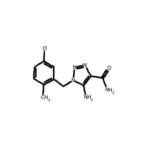 Cc1ccc(Cl)cc1Cn1nnc(C(N)=O)c1N